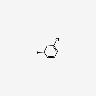 ClC1=CC=CC(I)C1